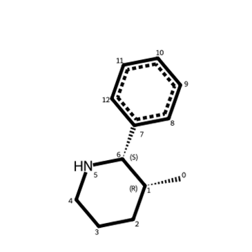 C[C@@H]1CCCN[C@@H]1c1ccccc1